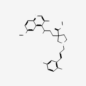 COC(=O)C1(CCC(O)c2c(F)cnc3ccc(OC)cc23)CCN(CC=Cc2cc(F)ccc2F)C1